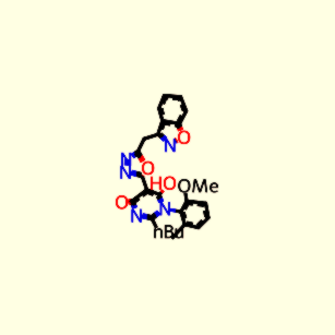 CCCCc1nc(=O)c(-c2nnc(Cc3noc4ccccc34)o2)c(O)n1-c1c(C)cccc1OC